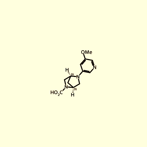 COc1cncc(N2C[C@@H]3C[C@H]2CN3C(=O)O)c1